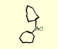 [Cl][Rh]([C]1=CCCCCCC1)[C]1=CCCCCCC1